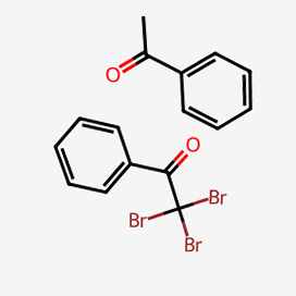 CC(=O)c1ccccc1.O=C(c1ccccc1)C(Br)(Br)Br